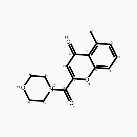 Cc1cccc2oc(C(=O)N3CCOCC3)cc(=O)c12